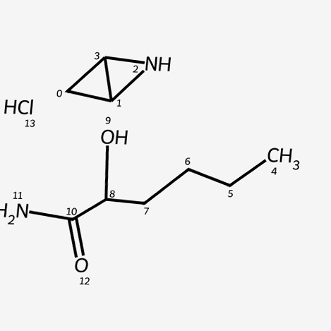 C1C2NC12.CCCCC(O)C(N)=O.Cl